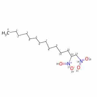 CCCCCCCCCCCCC(C[N+](=O)[O-])[N+](=O)[O-]